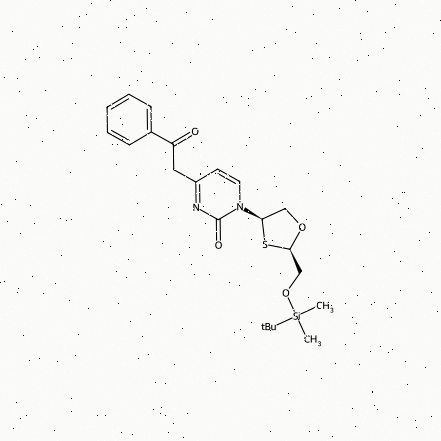 CC(C)(C)[Si](C)(C)OC[C@@H]1OC[C@H](n2ccc(CC(=O)c3ccccc3)nc2=O)S1